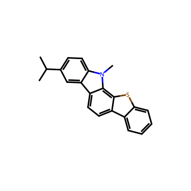 CC(C)c1ccc2c(c1)c1ccc3c4ccccc4sc3c1n2C